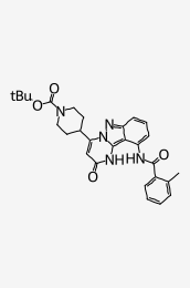 Cc1ccccc1C(=O)Nc1cccc2nn3c(C4CCN(C(=O)OC(C)(C)C)CC4)cc(=O)[nH]c3c12